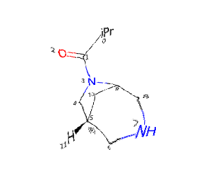 CC(C)C(=O)N1C[C@H]2CNCC1C2